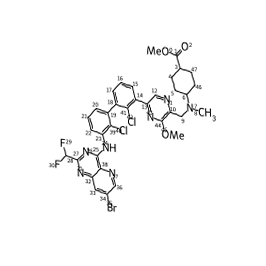 COC(=O)C1CCC(N(C)Cc2ncc(-c3cccc(-c4cccc(Nc5nc(C(F)F)nc6cc(Br)cnc56)c4Cl)c3Cl)nc2OC)CC1